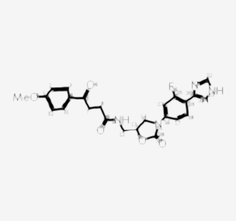 COc1ccc(C(=O)CCC(=O)NC[C@H]2CN(c3ccc(-c4nc[nH]n4)c(F)c3)C(=O)O2)cc1